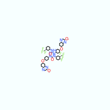 COc1cnc2ccc(Oc3ccc(NC(=O)N(c4ccc(F)c(C(F)(F)F)c4)N(C(=O)Nc4cccc(C(F)(F)F)c4)c4ccc(Oc5ccc6ncc(OC)nc6c5)cc4)cc3)cc2n1